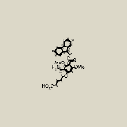 COc1cc(OCCCCC(=O)O)c(CN)c(OC)c1C(=O)OCC1c2ccccc2-c2ccccc21